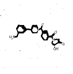 NCc1cccc(C2CCN(C(=O)c3cccc(C(=O)N4CC(=O)[C@H](O)C4)c3)CC2)c1